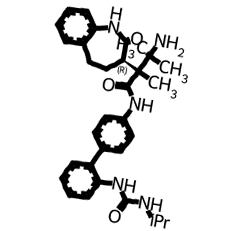 CC(C)NC(=O)Nc1ccccc1-c1ccc(NC(=O)C(C)([C@H]2CCc3ccccc3NC2=O)C(C)(C)N)cc1